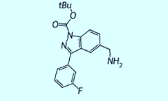 CC(C)(C)OC(=O)n1nc(-c2cccc(F)c2)c2cc(CN)ccc21